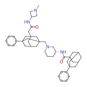 CN1CC(NC(=O)CC23CC4CC(CN5CCC[C@@H](NC(=O)C67CC8CC(C6)CC(c6ccccc6)(C8)C7)C5)(C2)CC(c2ccccc2)(C4)C3)C1